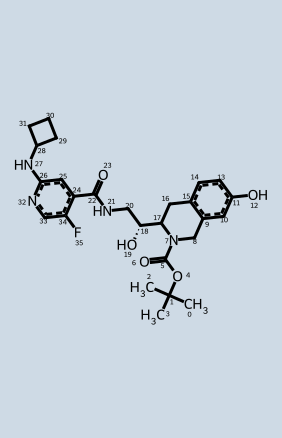 CC(C)(C)OC(=O)N1Cc2cc(O)ccc2CC1[C@H](O)CNC(=O)c1cc(NC2CCC2)ncc1F